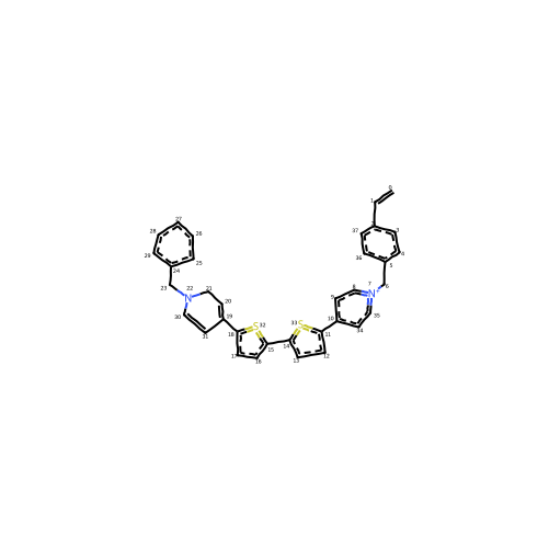 C=Cc1ccc(C[n+]2ccc(-c3ccc(-c4ccc(C5=CCN(Cc6ccccc6)C=C5)s4)s3)cc2)cc1